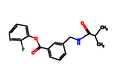 CC(C)C(=O)NCc1cccc(C(=O)Oc2ccccc2F)c1